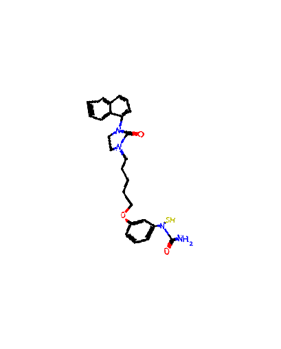 NC(=O)N(S)c1cccc(OCCCCCN2CCN(c3cccc4ccccc34)C2=O)c1